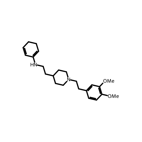 COc1ccc(CCN2CCC(CCNC3=CCCC=C3)CC2)cc1OC